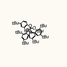 CC(C)(C)c1ccc(O[PH](Oc2ccc(C(C)(C)C)cc2C(C)(C)C)(Oc2ccc(C(C)(C)C)cc2C(C)(C)C)c2ccc(C(C)(C)C)cc2C(C)(C)C)c(C(C)(C)C)c1